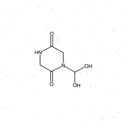 O=C1CN(C(O)O)C(=O)CN1